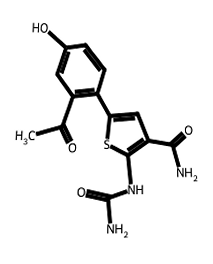 CC(=O)c1cc(O)ccc1-c1cc(C(N)=O)c(NC(N)=O)s1